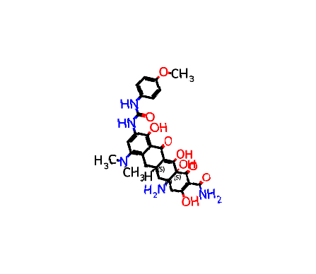 COc1ccc(NC(=O)Nc2cc(N(C)C)c3c(c2O)C(=O)C2=C(O)[C@]4(O)C(=O)C(C(N)=O)=C(O)C[C@]4(N)C[C@@H]2C3)cc1